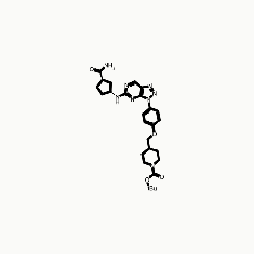 CC(C)(C)OC(=O)N1CCC(COc2ccc(-n3nnc4cnc(N[C@@H]5CC[C@@H](C(N)=O)C5)nc43)cc2)CC1